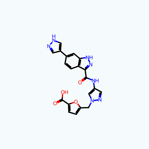 O=C(O)c1ccc(Cn2cc(NC(=O)c3n[nH]c4cc(-c5cn[nH]c5)ccc34)cn2)o1